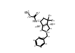 CC(C)(C)OC(=O)N[C@@H]1CC(F)(F)[C@H]2CN(Cc3ccccc3)C[C@@H]12